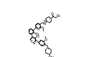 COCC(=O)N1CCC(NCc2ccc(-c3cccc(-c4ccnc(-c5ccc(CN6CCC(O)CC6)c(OC)c5)c4Cl)c3Cl)nc2OC)CC1